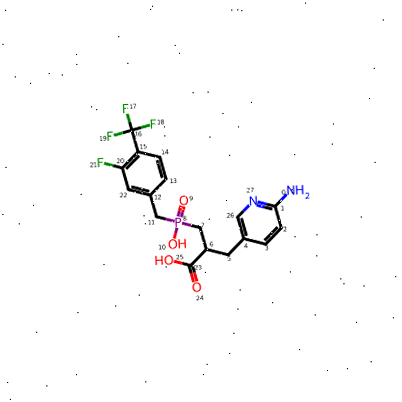 Nc1ccc(CC(CP(=O)(O)Cc2ccc(C(F)(F)F)c(F)c2)C(=O)O)cn1